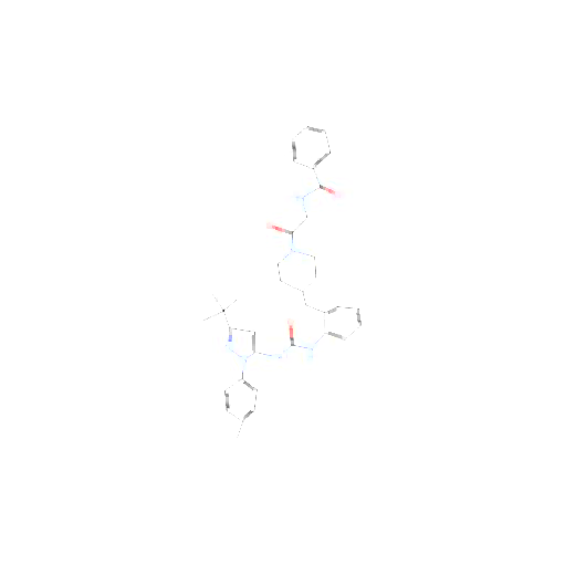 Cc1ccc(-n2nc(C(C)(C)C)cc2NC(=O)Nc2ccccc2CC2CCN(C(=O)CNC(=O)c3ccccc3)CC2)cc1